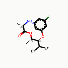 CCC(CC)[C@@H](Oc1cccc(F)c1)[C@H](C)OC(=O)[C@H](C)N